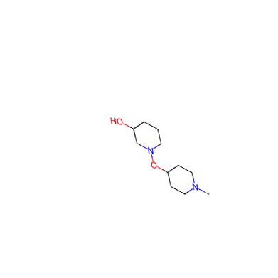 CN1CCC(ON2CCCC(O)C2)CC1